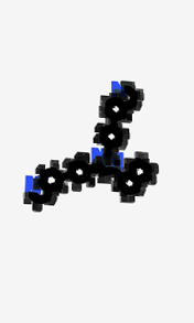 c1cnc2ccc(-c3ccc(-c4cc(-c5cccc6ccccc56)nc(-c5ccc(-c6ccc7ncccc7c6)cc5)n4)cc3)cc2c1